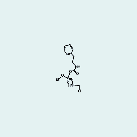 CCCSP(=NCCCl)(OCC)OC(=O)NCCc1ccccc1